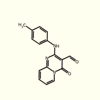 Cc1ccc(Nc2nc3ccccn3c(=O)c2C=O)cc1